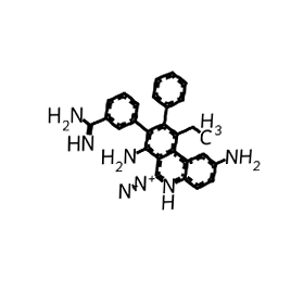 CCc1c(-c2ccccc2)c(-c2cccc(C(=N)N)c2)c(N)c2c(=[N+]=[N-])[nH]c3ccc(N)cc3c12